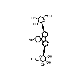 CC(=O)N1CCC2(CC1)c1cc(C#CC3O[C@H](CO)[C@@H](O)[C@H](O)[C@@H]3O)ccc1-c1ccc(C#CC3O[C@H](CO)C[C@H](O)[C@@H]3O)cc12